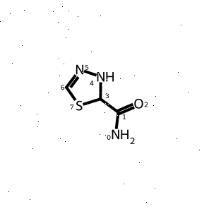 NC(=O)C1NN=CS1